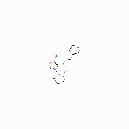 CC1CCCC(C)N1[n+]1noc([NH-])c1CSCc1ccccc1